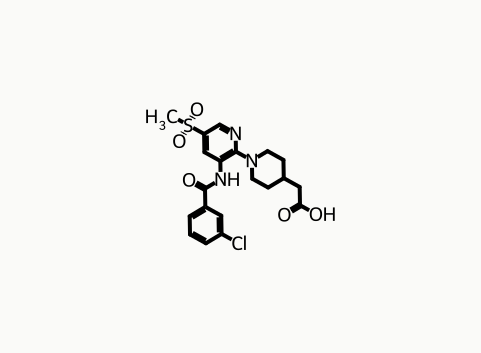 CS(=O)(=O)c1cnc(N2CCC(CC(=O)O)CC2)c(NC(=O)c2cccc(Cl)c2)c1